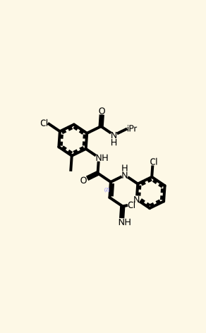 Cc1cc(Cl)cc(C(=O)NC(C)C)c1NC(=O)/C(=C/C(=N)Cl)Nc1ncccc1Cl